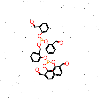 O=Cc1ccccc1OP(OCc1ccccc1OP(Oc1ccccc1C=O)Oc1ccccc1C=O)Oc1ccccc1C=O